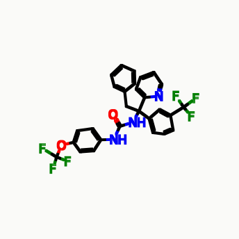 O=C(Nc1ccc(OC(F)(F)F)cc1)NC(Cc1ccccc1)(c1cccc(C(F)(F)F)c1)c1ccccn1